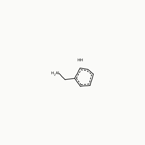 [AlH2][CH2]c1ccccc1.[HH]